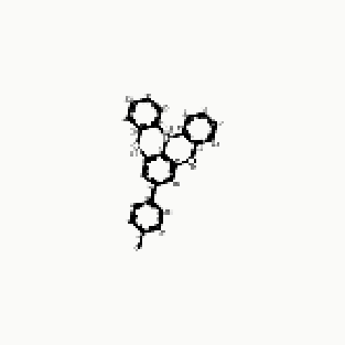 Cc1ccc(-c2cc3c4c(c2)Oc2ccccc2B4c2ccccc2O3)cc1